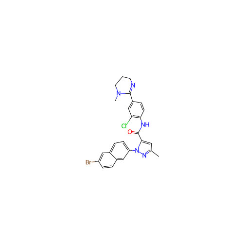 Cc1cc(C(=O)Nc2ccc(C3=NCCCN3C)cc2Cl)n(-c2ccc3cc(Br)ccc3c2)n1